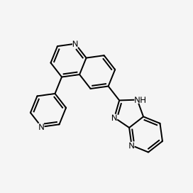 c1cnc2nc(-c3ccc4nccc(-c5ccncc5)c4c3)[nH]c2c1